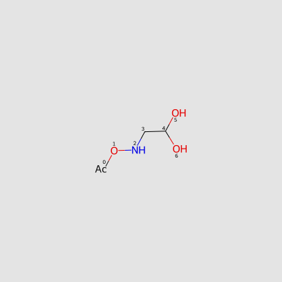 CC(=O)ONCC(O)O